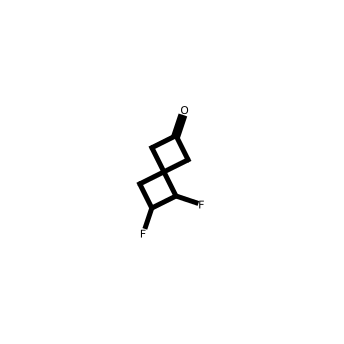 O=C1CC2(C1)CC(F)C2F